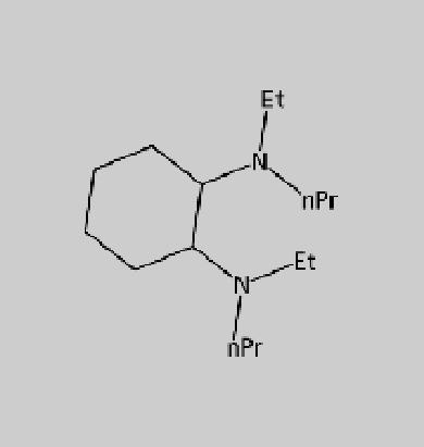 CCCN(CC)C1CCCCC1N(CC)CCC